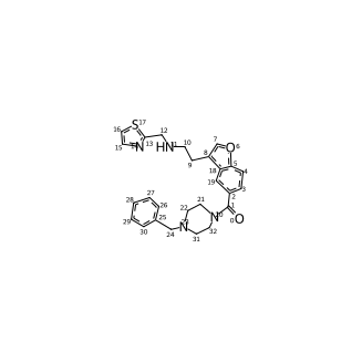 O=C(c1ccc2occ(CCNCc3nccs3)c2c1)N1CCN(Cc2ccccc2)CC1